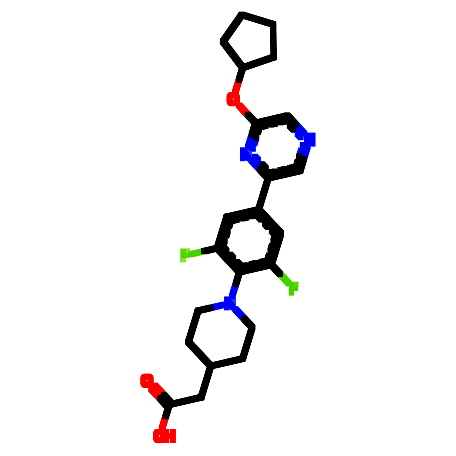 O=C(O)CC1CCN(c2c(F)cc(-c3cncc(OC4CCCC4)n3)cc2F)CC1